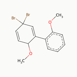 COc1ccccc1C1=CC(Br)(Br)C=CC1OC